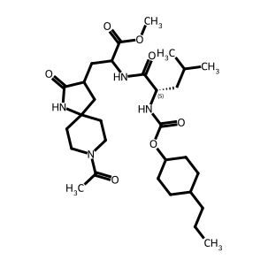 CCCC1CCC(OC(=O)N[C@@H](CC(C)C)C(=O)NC(CC2CC3(CCN(C(C)=O)CC3)NC2=O)C(=O)OC)CC1